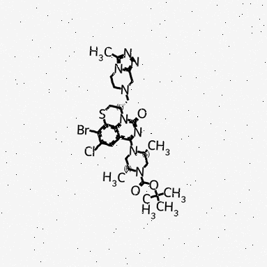 Cc1nnc2n1CCN(C[C@H]1CSc3c(Br)c(Cl)cc4c(N5C[C@@H](C)N(C(=O)OC(C)(C)C)C[C@@H]5C)nc(=O)n1c34)C2